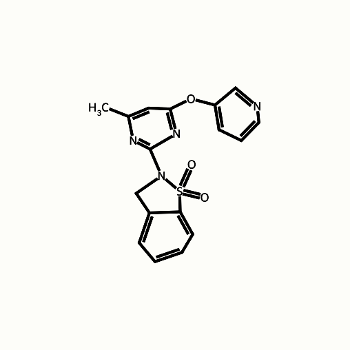 Cc1cc(Oc2cccnc2)nc(N2Cc3ccccc3S2(=O)=O)n1